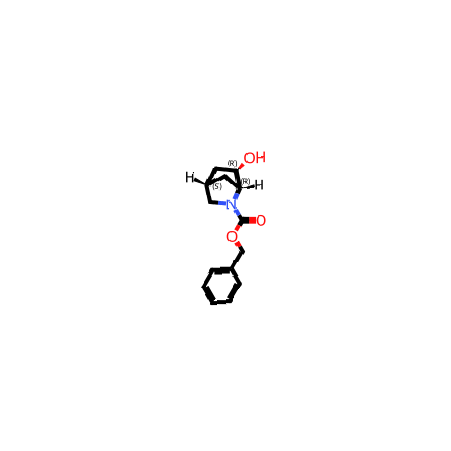 O=C(OCc1ccccc1)N1C[C@@H]2C[C@@H](O)[C@H]1C2